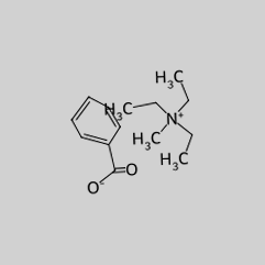 CC[N+](C)(CC)CC.O=C([O-])c1ccccc1